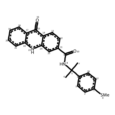 CSc1ccc(C(C)(C)NC(=O)c2ccc3c(=O)c4ccccc4[nH]c3c2)cc1